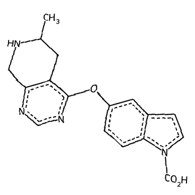 CC1Cc2c(ncnc2Oc2ccc3c(ccn3C(=O)O)c2)CN1